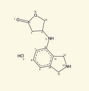 Cl.O=C1CC(Nc2cccc3c2CNC3)CO1